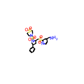 NCc1ccnc(S(=O)(=O)CC2CC(c3ccccc3)CN2S(=O)(=O)N2CCS(=O)(=O)CC2)c1